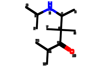 CC(C)NC(C)C(C)(C)C(=O)C(C)C